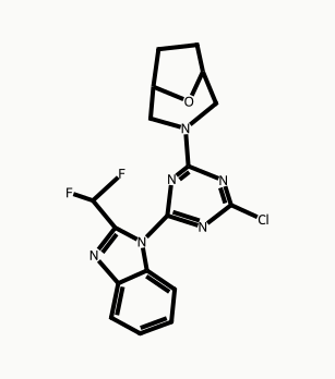 FC(F)c1nc2ccccc2n1-c1nc(Cl)nc(N2CC3CCC(C2)O3)n1